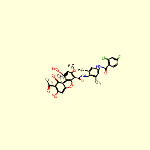 COc1cc(O)c2c(c1C(=O)NCc1c(C)cc(NC(=O)c3ccc(Cl)cc3Cl)cc1C)OC1=CC(O)=C(C(C)=O)C(=O)[C@]12C